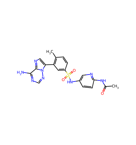 CC(=O)Nc1ccc(NS(=O)(=O)c2ccc(C)c(-c3cnc4c(N)ncnn34)c2)cn1